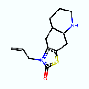 C=CCn1c2c(sc1=O)CC1NCCCC1C2